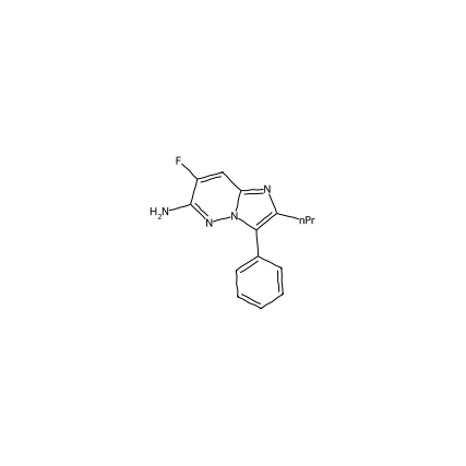 CCCc1nc2cc(F)c(N)nn2c1-c1ccccc1